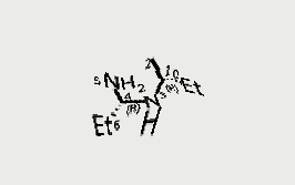 CC[C@@H](C)N[C@@H](N)CC